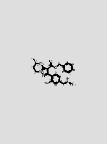 CC(C)NCc1ccc(-c2nn3c(c2C(=O)OCc2ccccc2)O[C@H](C)CC3)c(F)c1